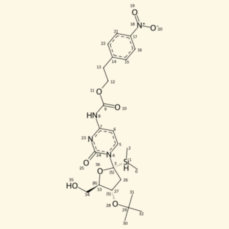 C[SiH](C)[C@]1(n2ccc(NC(=O)OCCc3ccc([N+](=O)[O-])cc3)nc2=O)C[C@H](OC(C)(C)C)[C@@H](CO)O1